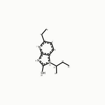 CCc1ccc2c(n1)nc(O)n2C(C)CC